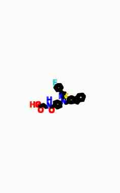 O=C(O)CCNC(=O)c1ccc(N(Cc2ccc3c(c2)Cc2ccccc2-3)c2nc(-c3ccc(F)cc3)cs2)cc1